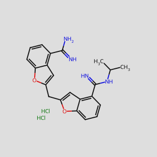 CC(C)NC(=N)c1cccc2oc(Cc3cc4c(C(=N)N)cccc4o3)cc12.Cl.Cl